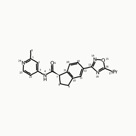 Cc1cc(NC(=O)[C@@H]2CCc3cc(-c4noc(C(C)C)n4)ccc32)ccn1